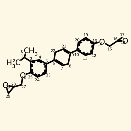 CC(C)c1cc(C2=CCC(c3ccc(OCC4CO4)cc3)=CC2)ccc1OCC1CO1